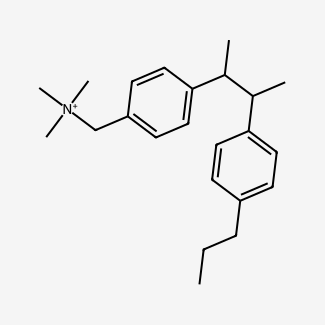 CCCc1ccc(C(C)C(C)c2ccc(C[N+](C)(C)C)cc2)cc1